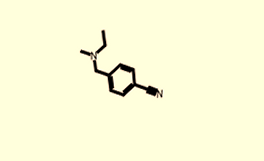 CCN(C)Cc1ccc(C#N)cc1